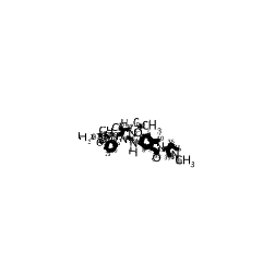 CC(C)Oc1cc2c(cc1Nc1ncc(Cl)c(Nc3ccccc3S(=O)(=O)C(C)C)n1)C(=O)N([C@H]1CCN(C)C1)C2